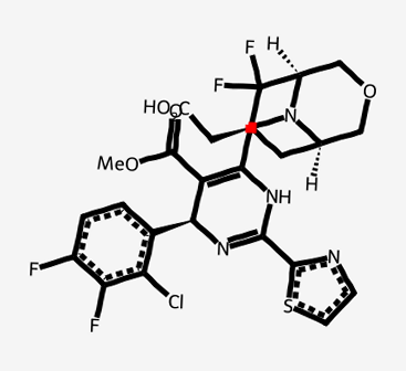 COC(=O)C1=C(CN2[C@H]3COC[C@@H]2C(F)(F)[C@H](CC(=O)O)C3)NC(c2nccs2)=N[C@H]1c1ccc(F)c(F)c1Cl